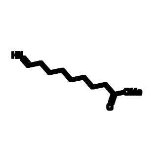 COC(=O)CCCCCCCC=N